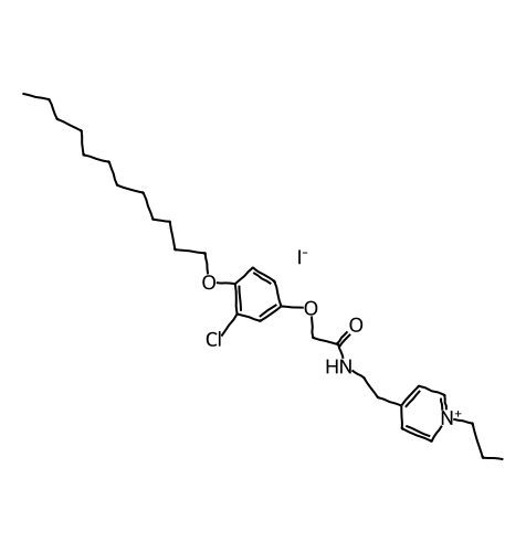 CCCCCCCCCCCCOc1ccc(OCC(=O)NCCc2cc[n+](CCC)cc2)cc1Cl.[I-]